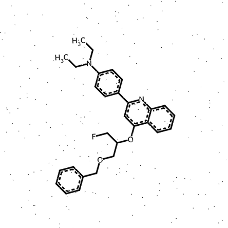 CCN(CC)c1ccc(-c2cc(OC(CF)COCc3ccccc3)c3ccccc3n2)cc1